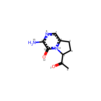 CC(=O)C1CCc2cnc(N)c(=O)n21